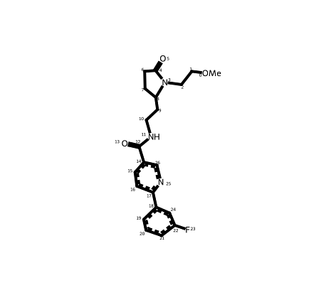 COCCN1C(=O)CCC1CCNC(=O)c1ccc(-c2cccc(F)c2)nc1